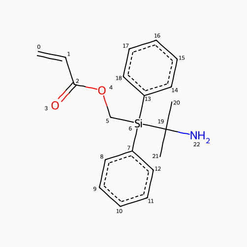 C=CC(=O)OC[Si](c1ccccc1)(c1ccccc1)C(C)(C)N